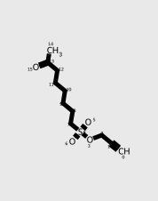 C#CCOS(=O)(=O)CCCCCCC(C)=O